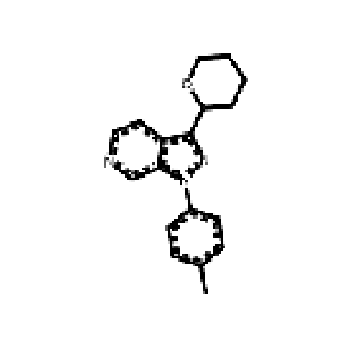 Cc1ccc(-n2nc(C3CCCCO3)c3ccncc32)cc1